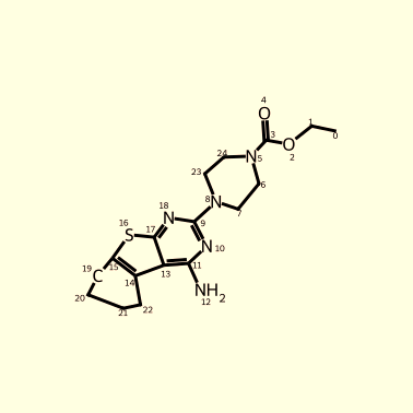 CCOC(=O)N1CCN(c2nc(N)c3c4c(sc3n2)CCCC4)CC1